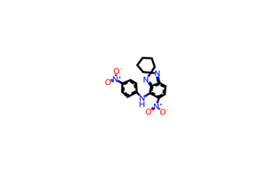 O=[N+]([O-])c1ccc(Nc2c([N+](=O)[O-])ccc3c2=NC2(CCCCC2)N=3)cc1